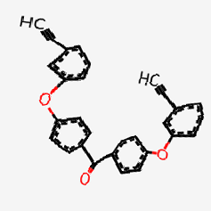 C#Cc1cccc(Oc2ccc(C(=O)c3ccc(Oc4cccc(C#C)c4)cc3)cc2)c1